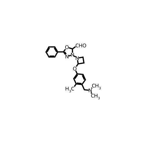 Cc1cc(OC2CCN2N2N=C(c3ccccc3)OC2C=O)ccc1CN(C)C